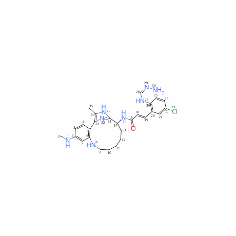 CNc1ccc2c(c1)NCCCCC[C@H](NC(=O)/C=C/c1cc(Cl)ccc1N/C=N\N)c1nc-2c(C)[nH]1